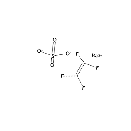 FC(F)=C(F)F.O=S(=O)([O-])[O-].[Ba+2]